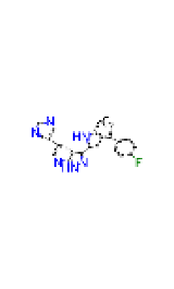 Fc1ccc(-c2cccc3[nH]c(-c4n[nH]c5ncc(-c6cncnc6)cc45)cc23)cc1